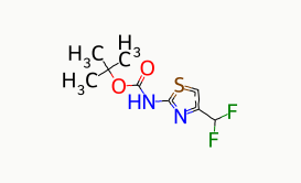 CC(C)(C)OC(=O)Nc1nc(C(F)F)cs1